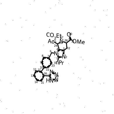 CCCc1nc2c(n1Cc1ccc(-c3ccccc3-c3nnn[nH]3)cc1)C(C(C)=O)N(C(=O)OCC)C(C(=O)OC)C2